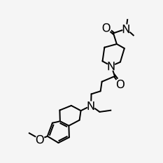 CCN(CCCC(=O)N1CCC(C(=O)N(C)C)CC1)C1CCc2cc(OC)ccc2C1